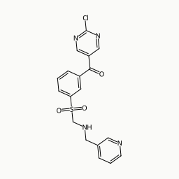 O=C(c1cnc(Cl)nc1)c1cccc(S(=O)(=O)CNCc2cccnc2)c1